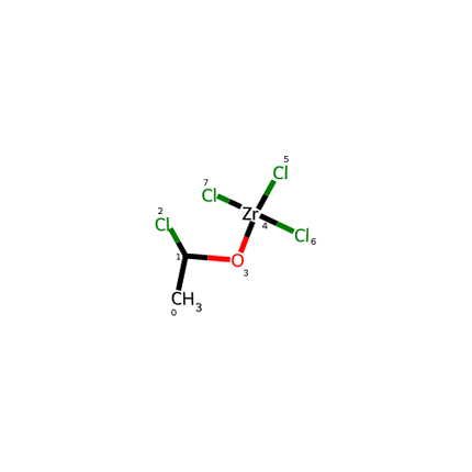 CC(Cl)[O][Zr]([Cl])([Cl])[Cl]